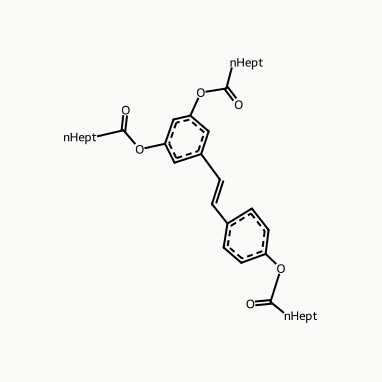 CCCCCCCC(=O)Oc1ccc(/C=C/c2cc(OC(=O)CCCCCCC)cc(OC(=O)CCCCCCC)c2)cc1